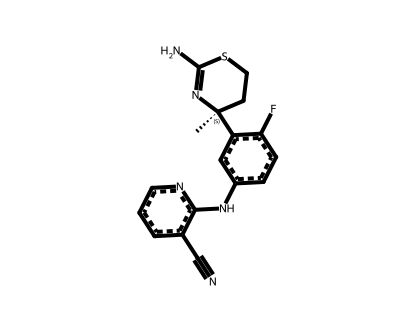 C[C@@]1(c2cc(Nc3ncccc3C#N)ccc2F)CCSC(N)=N1